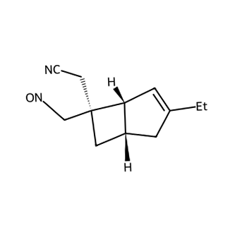 CCC1=C[C@@H]2[C@H](C1)C[C@@]2(CC#N)CN=O